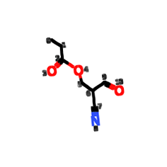 CCC(=O)OCC(C#N)C=O